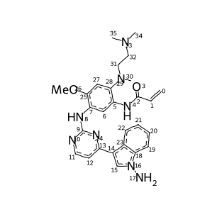 C=CC(=O)Nc1cc(Nc2nccc(-c3cn(N)c4ccccc34)n2)c(OC)cc1N(C)CCN(C)C